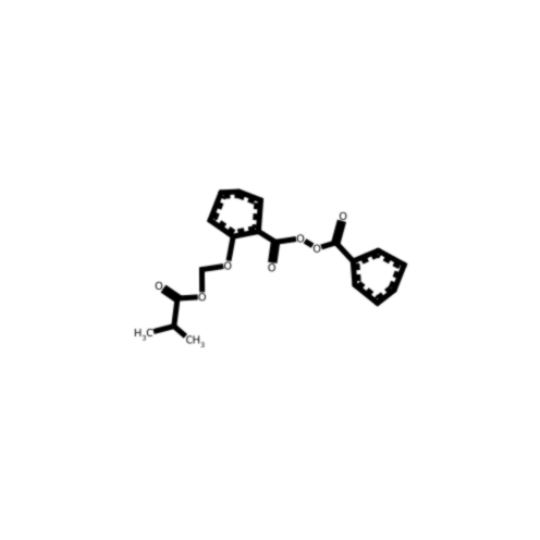 CC(C)C(=O)OCOc1ccccc1C(=O)OOC(=O)c1ccccc1